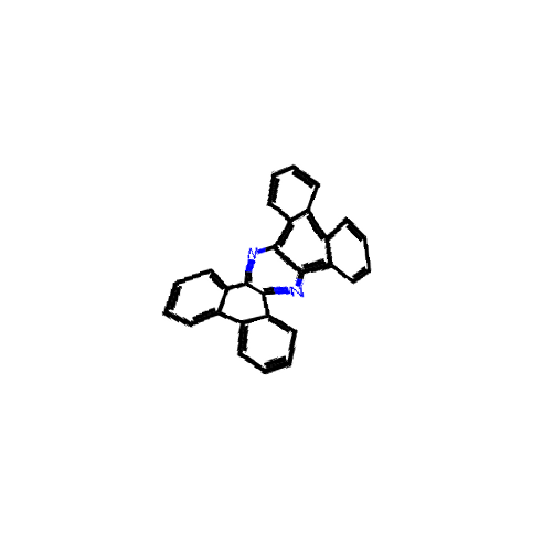 c1ccc2c(c1)c1ccccc1c1nc3c4ccccc4c4ccccc4c3nc21